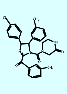 Cc1cccc(C(=O)C2=NC(c3ccc(Cl)cc3)C(c3cccc(C)c3)N2C(=O)N2CCNC(=O)C2)c1